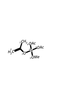 C=C(C)O[Si](OC)(OC(C)=O)OC(C)=O